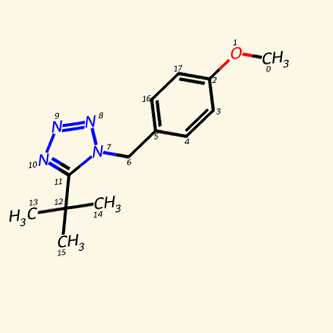 COc1ccc(Cn2nnnc2C(C)(C)C)cc1